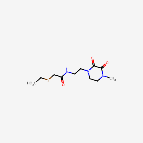 CN1CCN(CCNC(=O)CSCC(=O)O)C(=O)C1=O